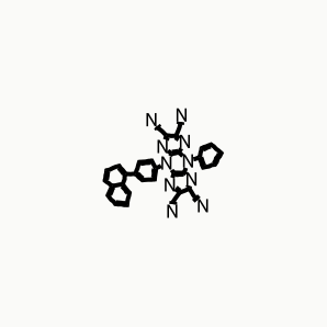 N#Cc1nc2c(nc1C#N)N(c1ccc(-c3cccc4ccccc34)cc1)c1nc(C#N)c(C#N)nc1N2c1ccccc1